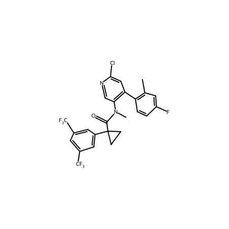 Cc1cc(F)ccc1-c1cc(Cl)ncc1N(C)C(=O)C1(c2cc(C(F)(F)F)cc(C(F)(F)F)c2)CC1